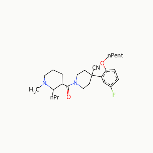 CCCCCOc1ccc(F)cc1C1(C#N)CCN(C(=O)C2CCCN(C)C2CCC)CC1